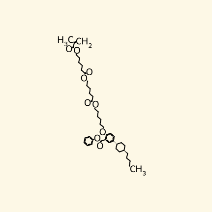 C=C(C)C(=O)OCCCCCC(=O)OCCCCCC(=O)OCCCCCCOc1ccc([C@H]2CC[C@H](CCCCC)CC2)cc1C(=O)Oc1ccccc1